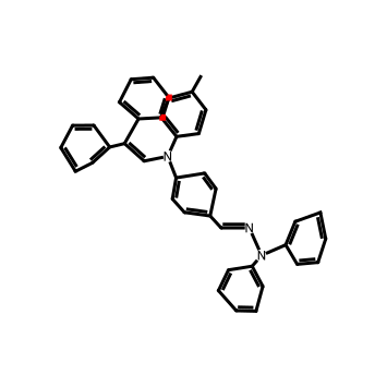 Cc1ccc(N(C=C(c2ccccc2)c2ccccc2)c2ccc(/C=N/N(c3ccccc3)c3ccccc3)cc2)cc1